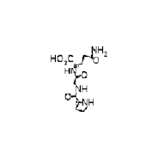 NC(=O)CC[C@H](NC(=O)CNC(=O)[C@@H]1CCCN1)C(=O)O